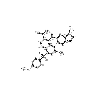 COc1ccc(S(=O)(=O)c2cc(C)cc3c(Nc4ccc5cnn(C)c5c4)c(C(N)=O)cnc23)cc1